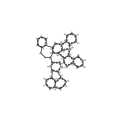 c1ccc2c(c1)CCC(c1cnc3c(n1)-c1cccc4cccc-3c14)c1c-2cc2c3ccccc3n3c4c5ccccc5ccc4c1c23